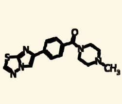 CN1CCN(C(=O)c2ccc(-c3cn4ncsc4n3)cc2)CC1